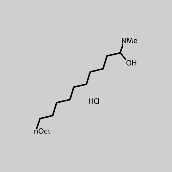 CCCCCCCCCCCCCCCCCC(O)NC.Cl